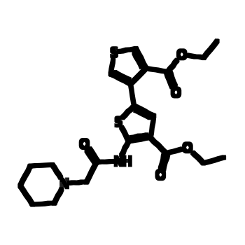 CCOC(=O)c1cscc1-c1cc(C(=O)OCC)c(NC(=O)CN2CCCCC2)s1